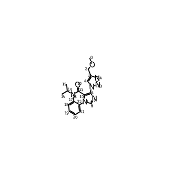 COCc1cn(-c2ncn3c2c(=O)n(C(C)C)c2ccccc23)nn1